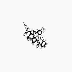 NC(=O)c1nn(-c2ccc3c(c2)OCO3)c2c1COc1ccc(NC(=O)c3ccccc3Cl)cc1-2